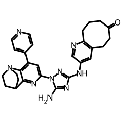 Nc1nc(Nc2cnc3c(c2)CCC(=O)CCC3)nn1-c1cc(-c2ccncc2)c2c(n1)C1CCN2CC1